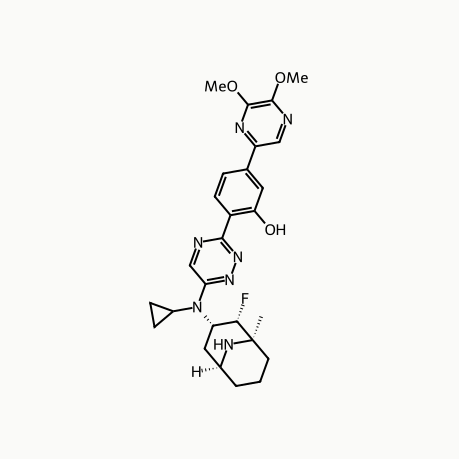 COc1ncc(-c2ccc(-c3ncc(N(C4CC4)[C@H]4C[C@@H]5CCC[C@@](C)(N5)[C@H]4F)nn3)c(O)c2)nc1OC